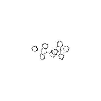 c1ccc(-c2c3ccccc3c(-c3ccc(-c4cccc5c4C4(c6ccccc6-c6ccccc64)c4ccccc4-5)cn3)c3ccccc23)cc1